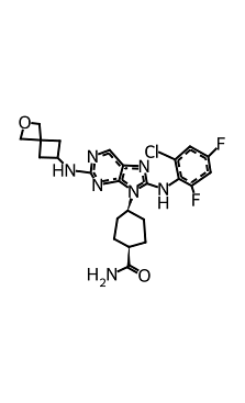 NC(=O)[C@H]1CC[C@@H](n2c(Nc3c(F)cc(F)cc3Cl)nc3cnc(NC4CC5(COC5)C4)nc32)CC1